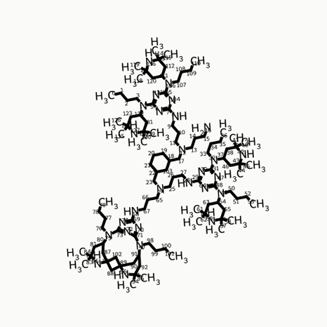 CCCCN(c1nc(NCCCN(CCCN)CC2CCCC(CN(CCCNc3nc(N(CCCC)C4CC(C)(C)NC(C)(C)C4)nc(N(CCCC)C4CC(C)(C)NC(C)(C)C4)n3)CCCNc3nc4nc(n3)N(CCCC)C3CC(C)(C)NC5(C3)CC3(CC(CC(C)(C)N3)N4CCCC)C5)C2)nc(N(CCCC)C2CC(C)(C)NC(C)(C)C2)n1)C1CC(C)(C)NC(C)(C)C1